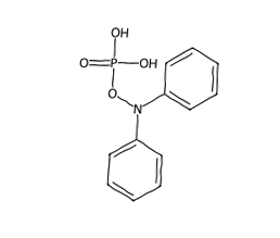 O=P(O)(O)ON(c1ccccc1)c1ccccc1